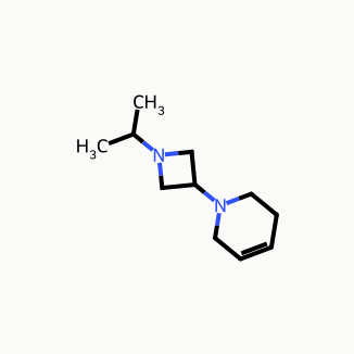 CC(C)N1CC(N2CC=CCC2)C1